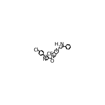 N[C@@H](CCN1CC2CN(C(=O)c3cnn(-c4ccc(Cl)cc4)c3C(F)(F)F)CC2C1)c1ccccc1